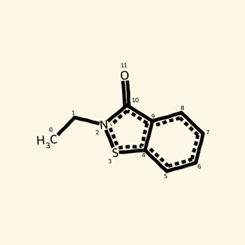 CCn1sc2ccccc2c1=O